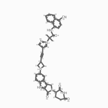 CC(C)(C(=O)Nc1ccc(C#N)c2ccccc12)n1cc(C#CC2CN(c3ccc4[nH]c5c(c4c3)CN(C3CCC(=O)NC3=O)C5=O)C2)cn1